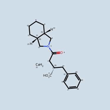 O=C(O)[C@H](CC(=O)N1C[C@H]2CCCC[C@H]2C1)Cc1ccccc1.[CaH2]